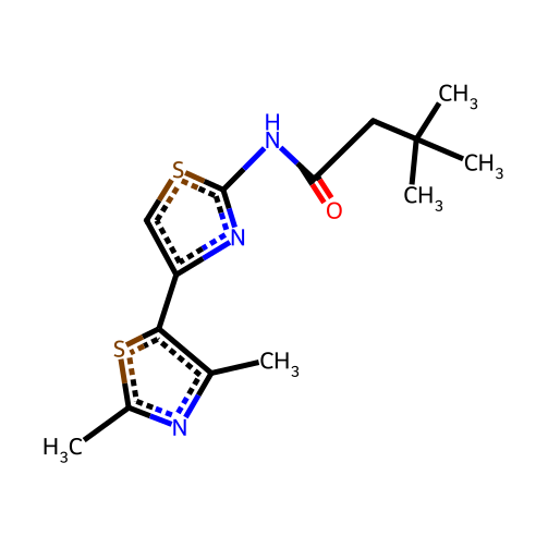 Cc1nc(C)c(-c2csc(NC(=O)CC(C)(C)C)n2)s1